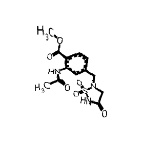 COC(=O)c1ccc(CN2CC(=O)NS2(=O)=O)cc1NC(C)=O